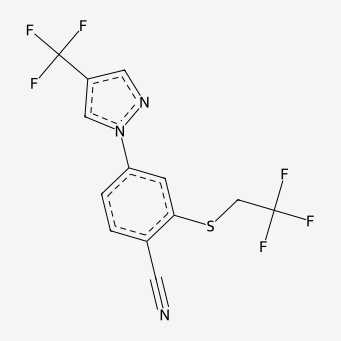 N#Cc1ccc(-n2cc(C(F)(F)F)cn2)cc1SCC(F)(F)F